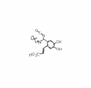 O=C=NC(N=C=O)c1cc(O)c(O)cc1C=CC(=O)O